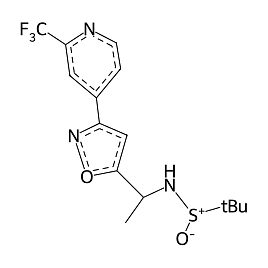 CC(N[S+]([O-])C(C)(C)C)c1cc(-c2ccnc(C(F)(F)F)c2)no1